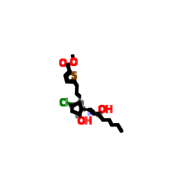 CCCCC[C@@H](O)/C=C/[C@@H]1[C@@H](CCCc2ccc(C(=O)OC)s2)[C@H](Cl)C[C@H]1O